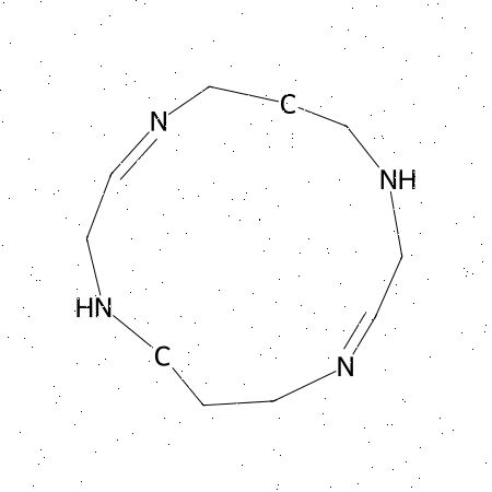 C1=NCCCNCC=NCCCNC1